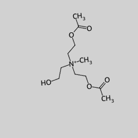 CC(=O)OCC[N+](C)(CCO)CCOC(C)=O